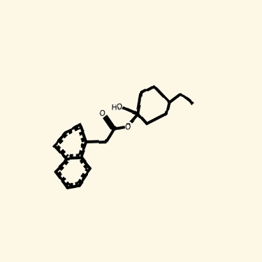 CCC1CCC(O)(OC(=O)Cc2cccc3ccccc23)CC1